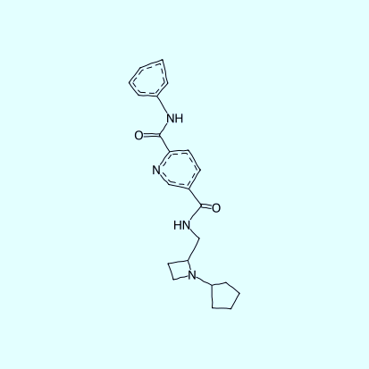 O=C(NCC1CCN1C1CCCC1)c1ccc(C(=O)Nc2ccccc2)nc1